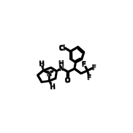 CN1[C@@H]2CC[C@H]1C[C@H](NC(=O)C(CC(F)(F)F)c1cccc(Cl)c1)C2